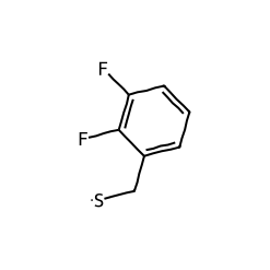 Fc1cccc(C[S])c1F